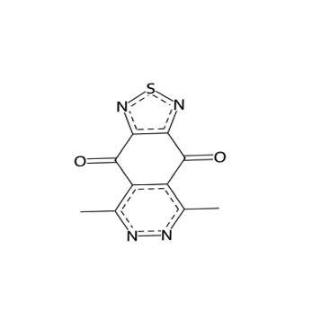 Cc1nnc(C)c2c1C(=O)c1nsnc1C2=O